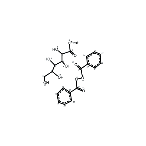 CCCCCC(=O)C(O)C(O)C(O)C(O)CO.O=C(OOC(=O)c1ccccc1)c1ccccc1